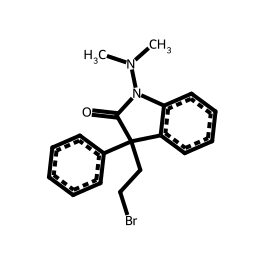 CN(C)N1C(=O)C(CCBr)(c2ccccc2)c2ccccc21